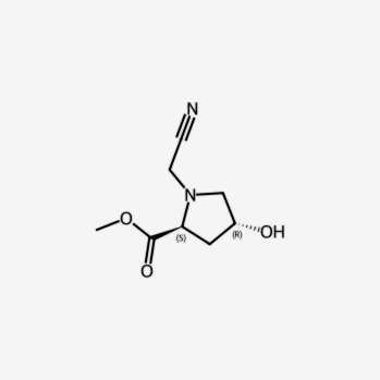 COC(=O)[C@@H]1C[C@@H](O)CN1CC#N